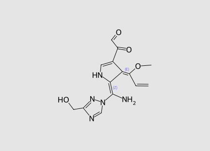 C=C/C(OC)=c1/c(C(=O)C=O)c[nH]/c1=C(/N)n1cnc(CO)n1